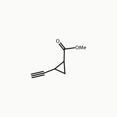 C#CC1CC1C(=O)OC